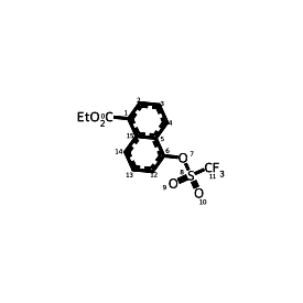 CCOC(=O)c1cccc2c(OS(=O)(=O)C(F)(F)F)cccc12